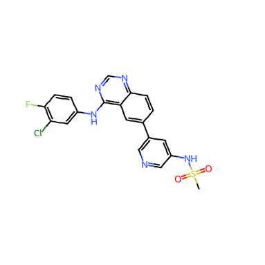 CS(=O)(=O)Nc1cncc(-c2ccc3ncnc(Nc4ccc(F)c(Cl)c4)c3c2)c1